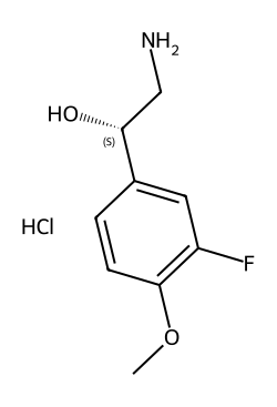 COc1ccc([C@H](O)CN)cc1F.Cl